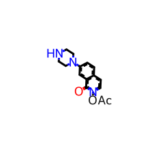 CC(=O)On1ccc2ccc(N3CCNCC3)cc2c1=O